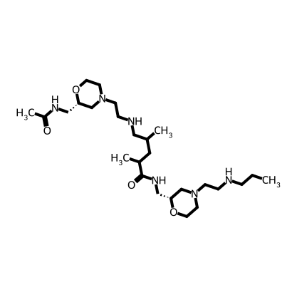 CCCNCCN1CCO[C@H](CNC(=O)C(C)CC(C)CNCCN2CCO[C@@H](CNC(C)=O)C2)C1